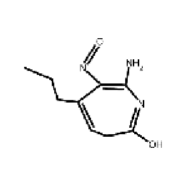 CCCC1=CCC(O)=NC(N)=C1N=O